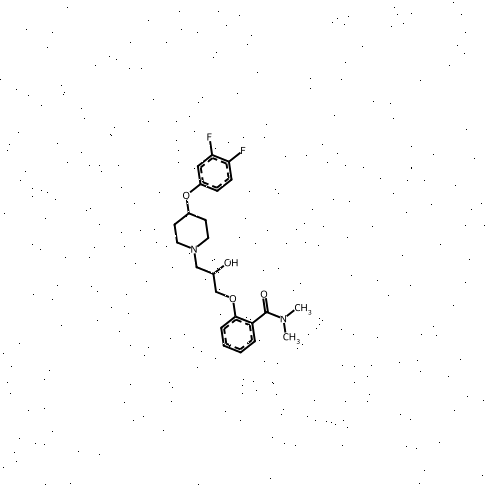 CN(C)C(=O)c1ccccc1OCC(O)CN1CCC(Oc2ccc(F)c(F)c2)CC1